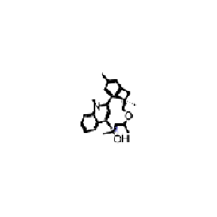 CC1=CC(c2cc(C)cc3c2[C@](C)(COC(C)/C=C(/C)O)C3)N(C)c2ccccc21